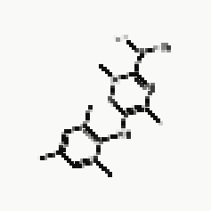 CCCN(CCC)C1=NC(C)=C(Nc2c(C)cc(C)cc2C)CN1C